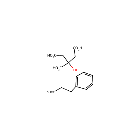 CCCCCCCCCCCCc1ccccc1.O=C(O)CC(O)(CC(=O)O)C(=O)O